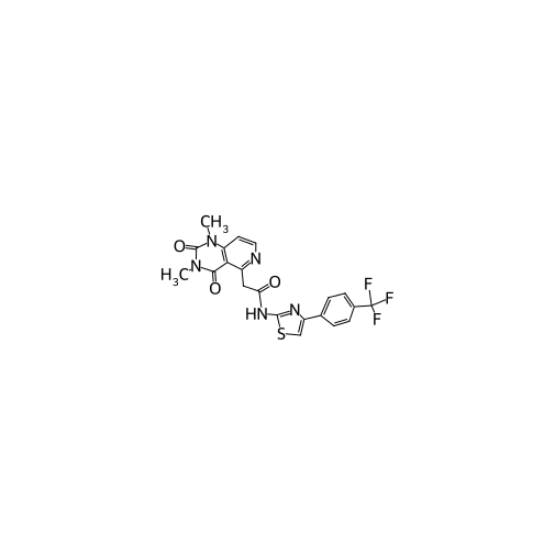 Cn1c(=O)c2c(CC(=O)Nc3nc(-c4ccc(C(F)(F)F)cc4)cs3)nccc2n(C)c1=O